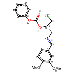 COc1ccc(/C=N/C[C@@H](CCl)OC(=O)Oc2ccccc2)cc1OC